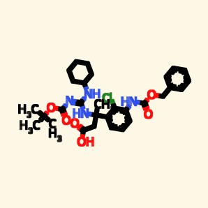 CC(C)(C)OC(=O)N=C(NC1CCCCC1)NC(C)(CC(=O)O)c1cccc(NC(=O)OCc2ccccc2)c1Cl